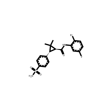 CCc1ccc(F)cc1NC(=O)[C@H]1[C@H](c2ccc(S(N)(=O)=O)cc2)C1(C)C